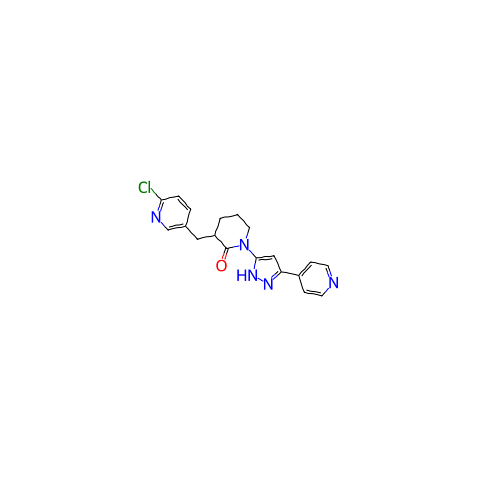 O=C1C(Cc2ccc(Cl)nc2)CCCN1c1cc(-c2ccncc2)n[nH]1